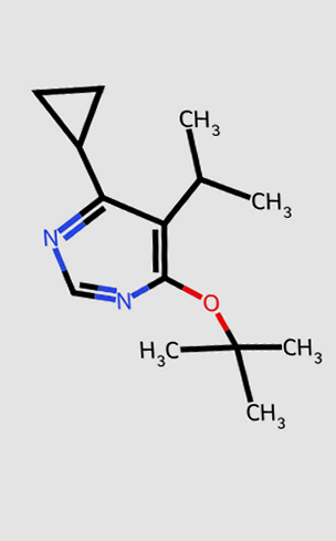 CC(C)c1c(OC(C)(C)C)ncnc1C1CC1